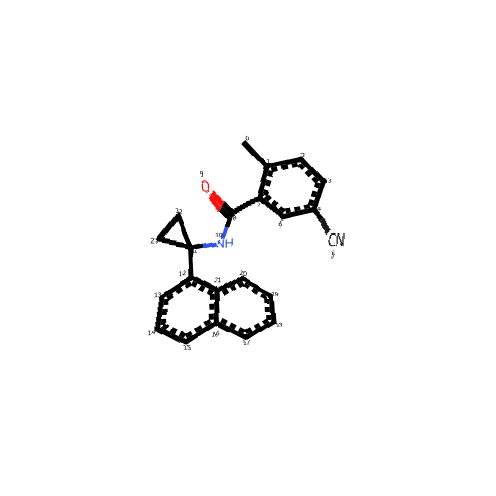 Cc1ccc(C#N)cc1C(=O)NC1(c2cccc3ccccc23)CC1